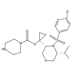 CC(C)[C@@H]1COC[C@H](C2(OC(=O)N3CCNCC3)CC2)N1S(=O)(=O)c1ccc(Cl)cc1